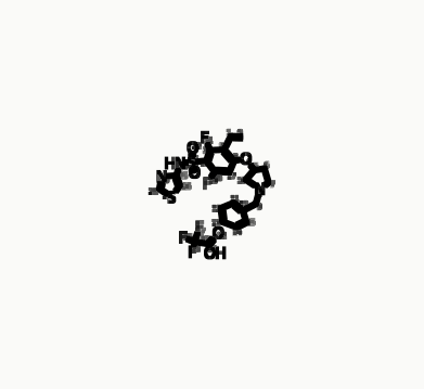 C=Cc1c(OC2CCN(Cc3ccccc3)C2)cc(F)c(S(=O)(=O)Nc2cscn2)c1F.O=C(O)C(F)(F)F